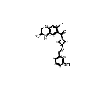 O=C1COc2cc(F)c(C(=O)N3CC(OCc4cccc(Cl)c4)C3)cc2N1